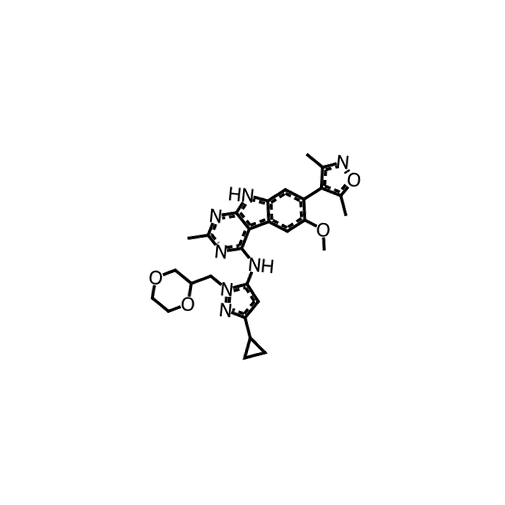 COc1cc2c(cc1-c1c(C)noc1C)[nH]c1nc(C)nc(Nc3cc(C4CC4)nn3CC3COCCO3)c12